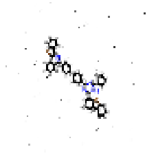 c1ccc(C2N=C(c3ccc(-c4ccc(-c5nc6c7ccccc7sc6c6ccccc56)cc4)cc3)N=C(c3cccc4c3sc3ccccc34)N2)cc1